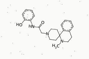 CN1CCc2ccccc2C12CCN(CC(=O)Nc1ccccc1O)CC2